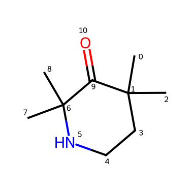 CC1(C)CCNC(C)(C)C1=O